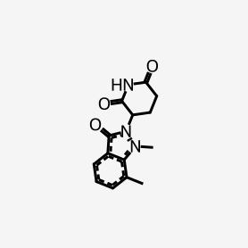 Cc1cccc2c(=O)n(C3CCC(=O)NC3=O)n(C)c12